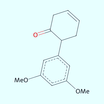 COc1cc(OC)cc(C2CC=CCC2=O)c1